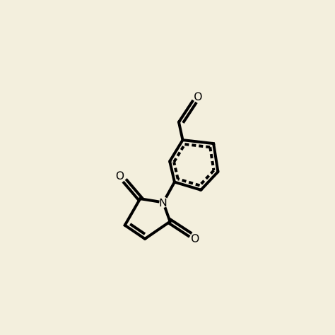 O=Cc1cccc(N2C(=O)C=CC2=O)c1